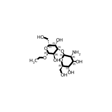 CCO[C@@H]1O[C@H](CO)[C@H](O)[C@H](O[C@@H]2O[C@H](CO)[C@@H](O)[C@H](O)[C@H]2N)[C@H]1O